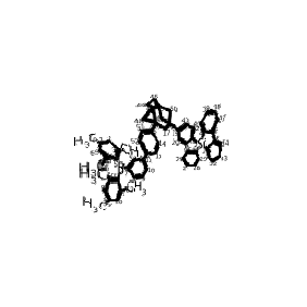 Cc1cc(C)c(B(c2cccc(-c3ccc(C45CC6(c7ccc([Si]8(c9ccccc9)c9ccccc9-c9ccccc98)cc7)CC7CC4(C5)C7C6)cc3)c2)c2c(C)cc(C)cc2C)c(C)c1